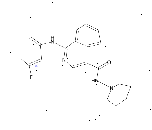 C=C(/C=C(\C)F)Nc1ncc(C(=O)NN2CCCCC2)c2ccccc12